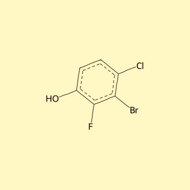 Oc1ccc(Cl)c(Br)c1F